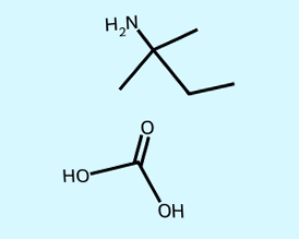 CCC(C)(C)N.O=C(O)O